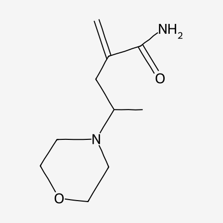 C=C(CC(C)N1CCOCC1)C(N)=O